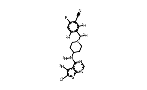 [2H]c1cc(F)c(C#N)c([2H])c1C([2H])N1CCC(N([2H])c2ncnc3sc(Cl)c([2H])c23)CC1